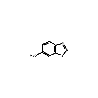 COc1ccc2nnsc2c1